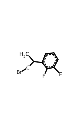 [CH2]C(CBr)c1cccc(F)c1F